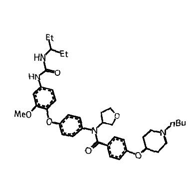 CCCCN1CCC(Oc2ccc(C(=O)N(c3ccc(Oc4ccc(NC(=O)NC(CC)CC)cc4OC)cc3)C3CCOC3)cc2)CC1